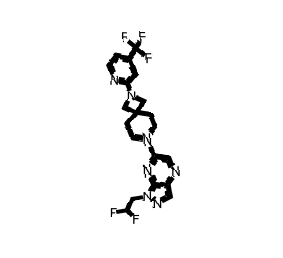 FC(F)Cn1ncc2ncc(N3CCC4(CC3)CN(c3cc(C(F)(F)F)ccn3)C4)nc21